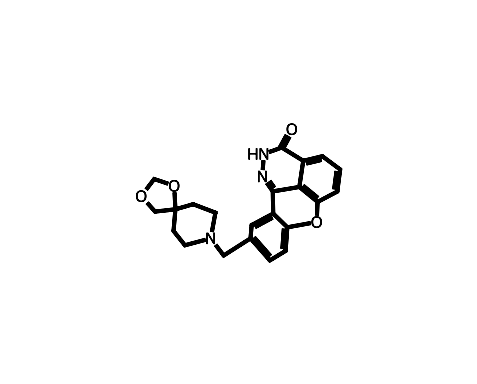 O=c1[nH]nc2c3c(cccc13)Oc1ccc(CN3CCC4(CC3)COCO4)cc1-2